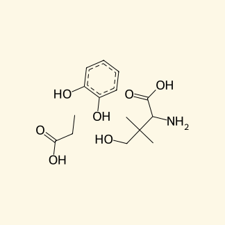 CC(C)(CO)C(N)C(=O)O.CCC(=O)O.Oc1ccccc1O